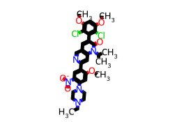 CCN1CCN(c2cc(OC)c(-c3cc4c(cn3)cc(-c3c(Cl)c(OC)cc(OC)c3Cl)c(=O)n4C(C)C)cc2[N+](=O)[O-])CC1